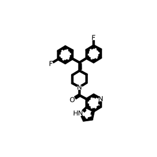 O=C(c1cncc2cc[nH]c12)N1CCC(=C(c2cccc(F)c2)c2cccc(F)c2)CC1